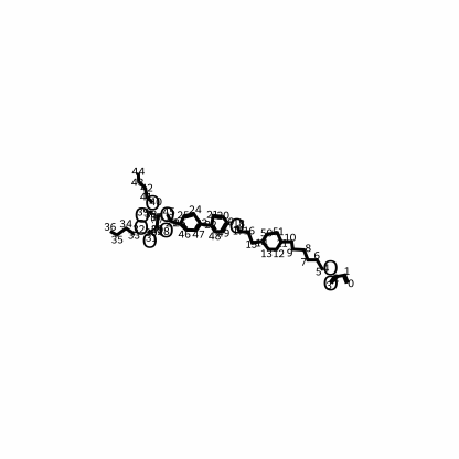 C=CC(=O)OCCCCCCC1CCC(CCCOc2ccc(-c3ccc(C4O[C@@H](C(=O)OCCCC)[C@H](C(=O)OCCCC)O4)cc3)cc2)CC1